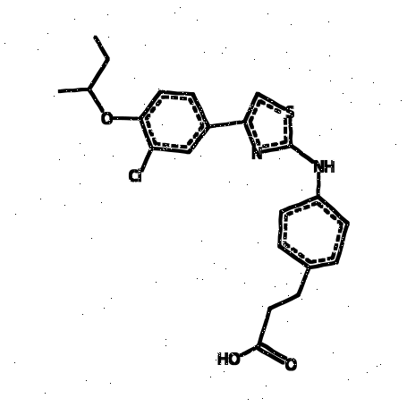 CCC(C)Oc1ccc(-c2csc(Nc3ccc(CCC(=O)O)cc3)n2)cc1Cl